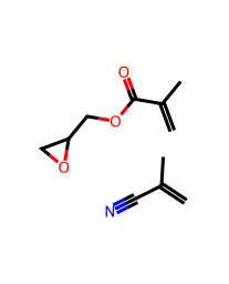 C=C(C)C#N.C=C(C)C(=O)OCC1CO1